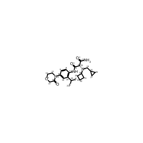 NC(=O)[C@@H](C(=O)Nc1ccc(N2CCOCC2=O)cc1C(F)F)N(CC1CC1)C1CCC1